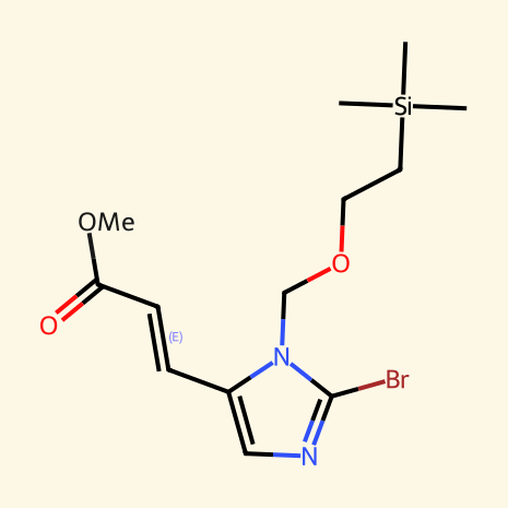 COC(=O)/C=C/c1cnc(Br)n1COCC[Si](C)(C)C